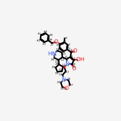 Cc1cc(C(=O)C2=C(O)C(=O)N(CCCN3CCOCC3)C2C2CCNCC2C2CCCC2)ccc1OCc1ccccc1